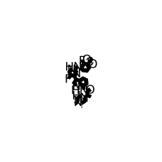 CC(C(=O)Nc1cccc2c(-c3nc(Nc4cccc(S(C)(=O)=O)c4F)ncc3F)c[nH]c12)N1C[C@H](C)N(C)[C@@H](C)C1